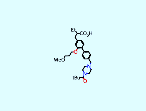 CCC(Cc1ccc(-c2ccc(CN3CCN(C(=O)C(C)(C)C)CC3)cc2)c(OCCCOC)c1)C(=O)O